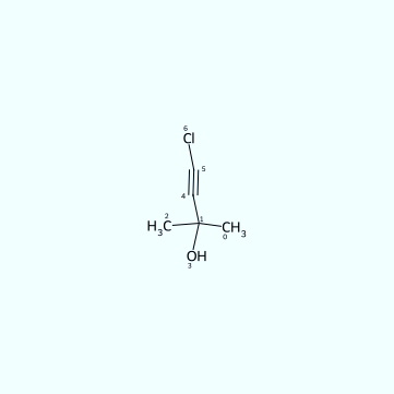 CC(C)(O)C#CCl